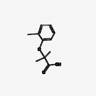 Cc1ccccc1OC(C)(C)C(=O)O